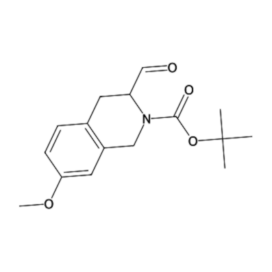 COc1ccc2c(c1)CN(C(=O)OC(C)(C)C)C(C=O)C2